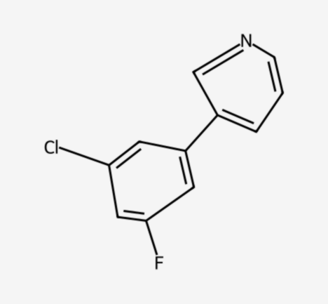 Fc1cc(Cl)cc(-c2cccnc2)c1